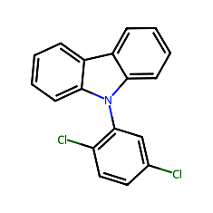 Clc1ccc(Cl)c(-n2c3ccccc3c3ccccc32)c1